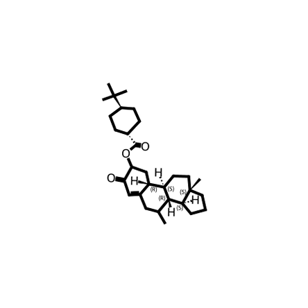 CC1CC2=CC(=O)C(OC(=O)[C@H]3CC[C@H](C(C)(C)C)CC3)C[C@@H]2[C@H]2CC[C@]3(C)CCC[C@H]3[C@H]12